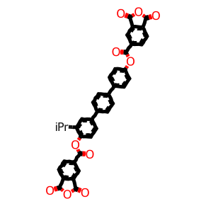 CC(C)c1cc(-c2ccc(-c3ccc(OC(=O)c4ccc5c(c4)C(=O)OC5=O)cc3)cc2)ccc1OC(=O)c1ccc2c(c1)C(=O)OC2=O